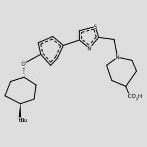 CC(C)(C)[C@H]1CC[C@H](Oc2ccc(-c3csc(CN4CCC(C(=O)O)CC4)n3)cc2)CC1